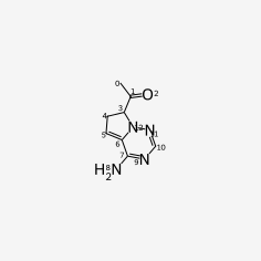 CC(=O)C1CC=C2C(N)=NC=NN21